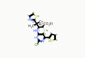 CCOC(=O)CC(Nc1nc(Cl)nc(-c2cccs2)c1F)C(C)(C)c1nccs1